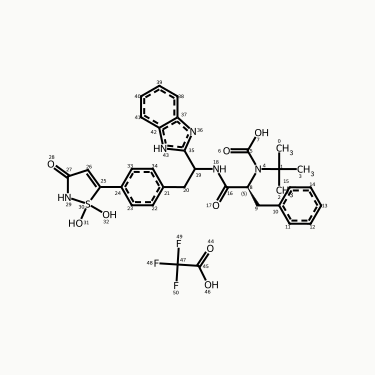 CC(C)(C)N(C(=O)O)[C@@H](Cc1ccccc1)C(=O)NC(Cc1ccc(C2=CC(=O)NS2(O)O)cc1)c1nc2ccccc2[nH]1.O=C(O)C(F)(F)F